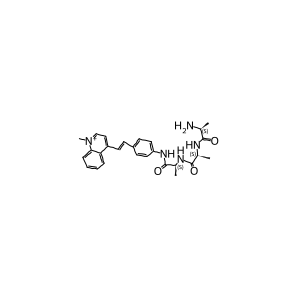 C[C@H](N)C(=O)N[C@@H](C)C(=O)N[C@@H](C)C(=O)Nc1ccc(C=Cc2cc[n+](C)c3ccccc23)cc1